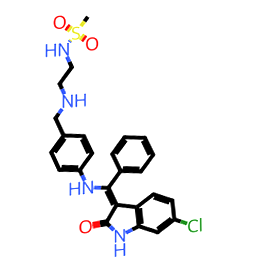 CS(=O)(=O)NCCNCc1ccc(N/C(=C2\C(=O)Nc3cc(Cl)ccc32)c2ccccc2)cc1